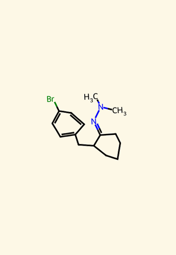 CN(C)N=C1CCCCC1Cc1ccc(Br)cc1